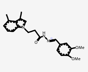 COc1ccc(/C=N/NC(=O)CCn2cc(C)c3c(C)cccc32)cc1OC